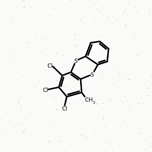 Cc1c(Cl)c(Cl)c(Cl)c2c1Sc1ccccc1S2